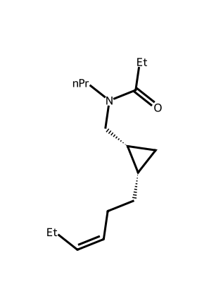 CC/C=C\CC[C@H]1C[C@H]1CN(CCC)C(=O)CC